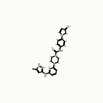 Cc1cc(Nc2cccc(N3CCN(C(=O)Nc4ccc(N5C=CC(=O)C5)cc4)CC3)n2)n[nH]1